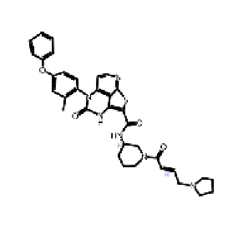 Cc1cc(Oc2ccccc2)ccc1N1C(=O)Nc2c(C(=O)N[C@@H]3CCCN(C(=O)/C=C/CN4CCCC4)C3)sc3nccc1c23